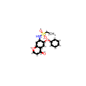 CCS(=O)(=O)Nc1cc2occc(=O)c2cc1Oc1ccccc1